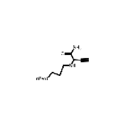 C#CC(NCCCCCCCC)C(N)=O